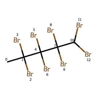 CC(Br)(Br)C(Br)(Br)C(Br)(Br)[C](Br)Br